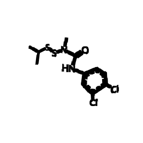 CC(C)SSN(C)C(=O)Nc1ccc(Cl)c(Cl)c1